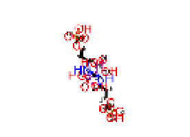 O=P(O)(O)C(NCCCOS(=O)(=O)O)(NCCCOS(=O)(=O)O)P(=O)(O)O